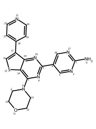 Nc1ncc(-c2nc(N3CCOCC3)c3scc(-c4ccncc4)c3n2)cn1